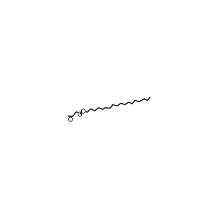 CCCCCCCCCCCCCCCCCCOOCC1CO1